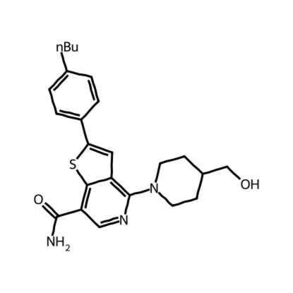 CCCCc1ccc(-c2cc3c(N4CCC(CO)CC4)ncc(C(N)=O)c3s2)cc1